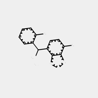 N#CC(c1ccccc1[N+](=O)[O-])c1ccc([N+](=O)[O-])c2nsnc12.[Na+]